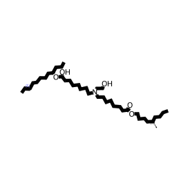 C/C=C/CCCCCC(CCC)OC(O)CCCCCCCN(CCO)CCCCCCCC(=O)OCCCC[C@@H](C)CCCC